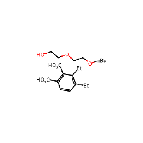 CCCCOCCOCCO.CCc1ccc(C(=O)O)c(C(=O)O)c1CC